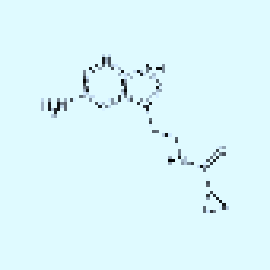 Nc1cnc2[nH]cc(CCNC(=O)C3CC3)c2c1